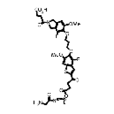 COc1cc2c(c(F)c1OCCCOc1c(OC)cc3sc(C(=O)CCC(=O)O[C@@H](C)CNC(=O)CN)cc3c1F)CN(C(=O)CCC(=O)O)C2